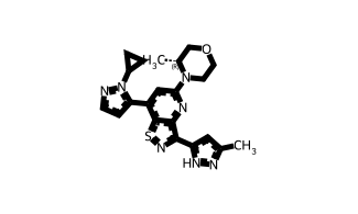 Cc1cc(-c2nsc3c(-c4ccnn4C4CC4)cc(N4CCOC[C@H]4C)nc23)[nH]n1